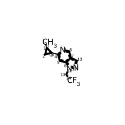 C[C@H]1C[C@@H]1c1cc2c(cn1)cnn2CC(F)(F)F